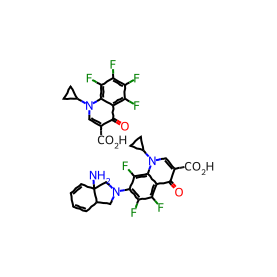 NC12C=CC=CC1CN(c1c(F)c(F)c3c(=O)c(C(=O)O)cn(C4CC4)c3c1F)C2.O=C(O)c1cn(C2CC2)c2c(F)c(F)c(F)c(F)c2c1=O